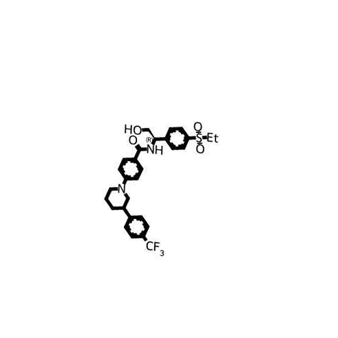 CCS(=O)(=O)c1ccc([C@H](CO)NC(=O)c2ccc(N3CCCC(c4ccc(C(F)(F)F)cc4)C3)cc2)cc1